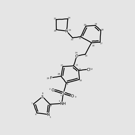 O=S(=O)(Nc1nccs1)c1cc(Cl)c(OCc2ccccc2CN2CCC2)cc1F